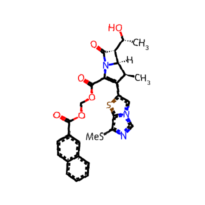 CSc1ncn2cc(C3=C(C(=O)OCOC(=O)c4ccc5ccccc5c4)N4C(=O)[C@H]([C@@H](C)O)[C@H]4[C@H]3C)sc12